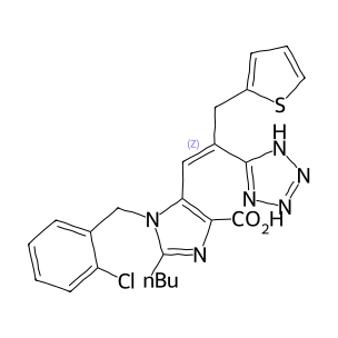 CCCCc1nc(C(=O)O)c(/C=C(/Cc2cccs2)c2nnn[nH]2)n1Cc1ccccc1Cl